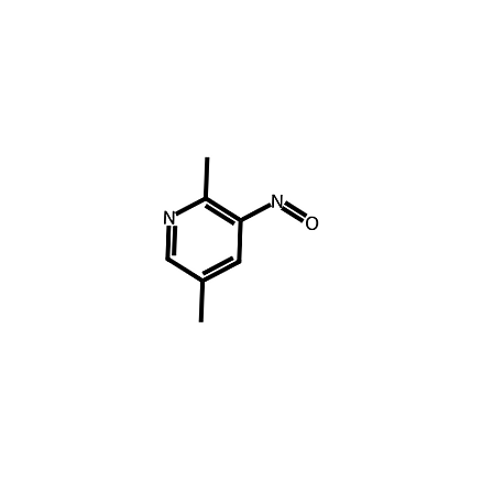 Cc1cnc(C)c(N=O)c1